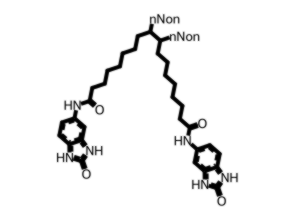 CCCCCCCCCC(CCCCCCCC(=O)Nc1ccc2[nH]c(=O)[nH]c2c1)C(CCCCCCCCC)CCCCCCCC(=O)Nc1ccc2[nH]c(=O)[nH]c2c1